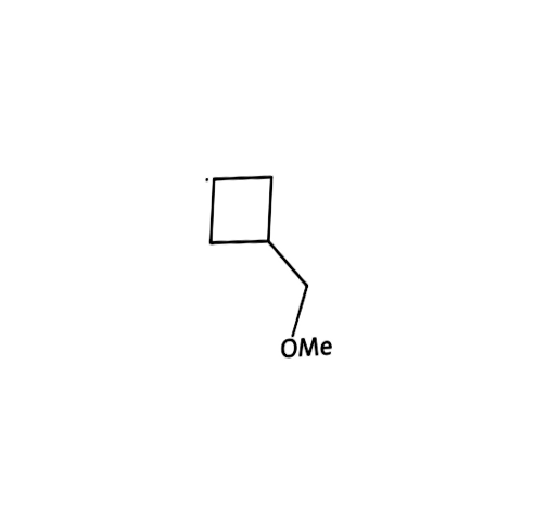 COCC1C[CH]C1